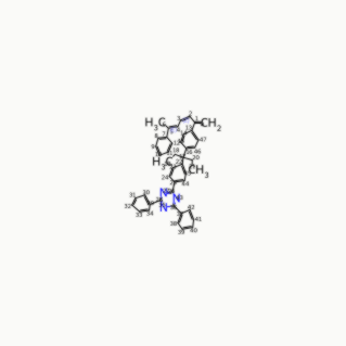 C=C(/C=C\C=C(/C)c1ccccc1)c1ccc(C(CC)(CC)c2ccc(-c3nc(-c4ccccc4)nc(-c4ccccc4)n3)cc2)cc1